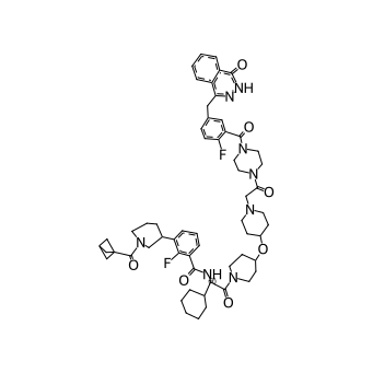 O=C(N[C@@H](C(=O)N1CCC(OC2CCN(CC(=O)N3CCN(C(=O)c4cc(Cc5n[nH]c(=O)c6ccccc56)ccc4F)CC3)CC2)CC1)C1CCCCC1)c1cccc(C2CCCN(C(=O)C34CC(C3)C4)C2)c1F